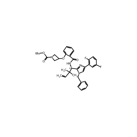 C=CC(C)(C)[C@@H](NC(=O)c1ccccc1OC1CN(C(=O)OC(C)(C)C)C1)c1nc(-c2cc(F)ccc2F)cn1Cc1ccccc1